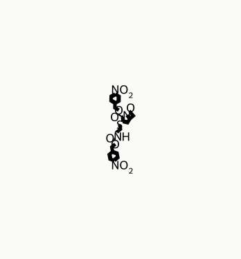 O=C(NCCSC1=CC2CC(=O)N2[C@@H]1C(=O)OCc1ccc([N+](=O)[O-])cc1)OCc1ccc([N+](=O)[O-])cc1